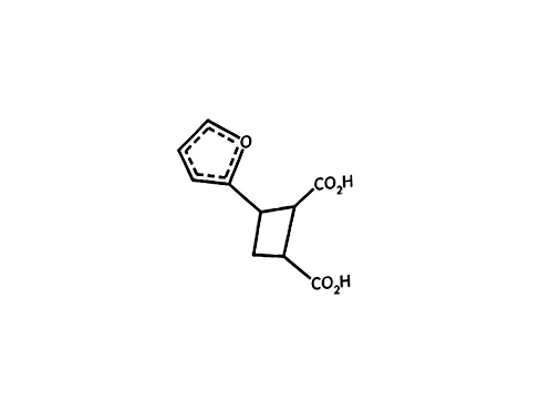 O=C(O)C1CC(c2ccco2)C1C(=O)O